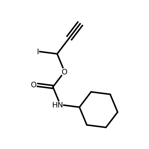 C#CC(I)OC(=O)NC1CCCCC1